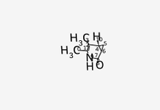 CC1=C(C)[C@@H]2CC2C(=O)N1